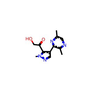 Cc1cnc(C)c(-c2cnn(C)c2C(=O)CO)n1